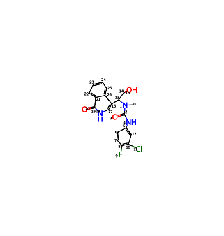 CN(C(=O)Nc1ccc(F)c(Cl)c1)C(CO)c1c[nH]c(=O)c2ccccc12